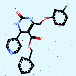 O=C1NC(COc2cccc(Cl)c2)=C(C(=O)OCc2ccccc2)C(c2ccncc2)N1